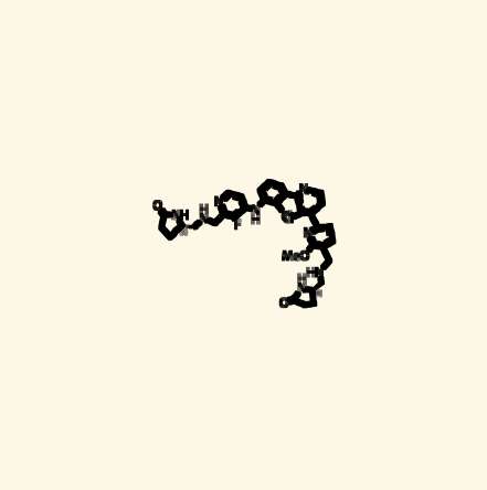 COc1nc(-c2ccnc(-c3cccc(Nc4ccnc(CNC[C@@H]5CCC(=O)N5)c4F)c3Cl)c2Cl)ccc1CNC[C@H]1CCC(=O)N1